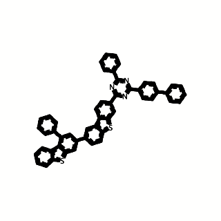 c1ccc(-c2ccc(-c3nc(-c4ccccc4)nc(-c4ccc5c(c4)sc4ccc(-c6cc(-c7ccccc7)c7c(c6)sc6ccccc67)cc45)n3)cc2)cc1